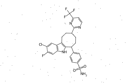 NS(=O)(=O)c1ccc(C2CCC(c3nccc(C(F)(F)F)n3)CCc3c2[nH]c2cc(F)c(Cl)cc32)cc1